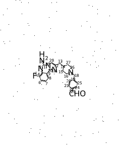 Nc1nc2c(F)cccc2c2nc(CC3CCN(Cc4ccc(C=O)cc4)CC3)cn12